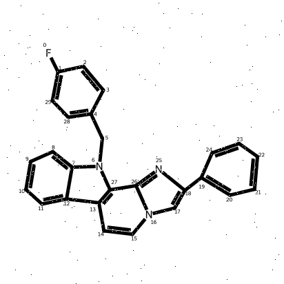 Fc1ccc(Cn2c3ccccc3c3ccn4cc(-c5ccccc5)nc4c32)cc1